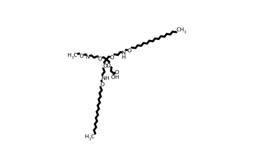 CCCCCCCCCCCCCCCCCOCNCCCOCC(COCCC/N=C/OCC)(COCCCNCOCCCCCCCCCCCCCCCCC)COCCC(=O)O